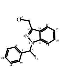 ClCc1nn(C(I)c2ccccc2)c2ccccc12